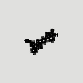 CC(C)(C)c1cc(NC(=O)Nc2ccc(Oc3ccnc4[nH]c(=O)[nH]c34)cc2)n(-c2ccccn2)n1